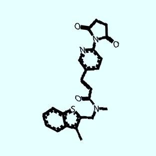 Cc1c(CN(C)C(=O)/C=C/c2ccc(N3C(=O)CCC3=O)nc2)sc2ccccc12